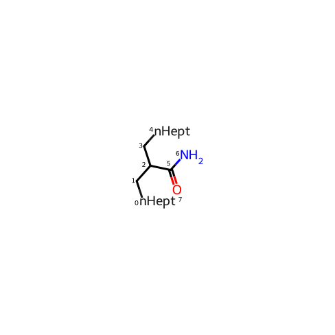 CCCCCCCCC(CCCCCCCC)C(N)=O